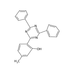 Cc1ccc(-c2nc(-c3ccccc3)nc(-c3ccccc3)n2)c(O)c1